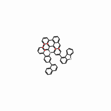 c1ccc(-c2ccc(-c3cccc4ccccc34)cc2N(c2cccc(-c3cccc4oc5ccccc5c34)c2)c2ccccc2-c2cccc3cccc(-c4ccccc4)c23)cc1